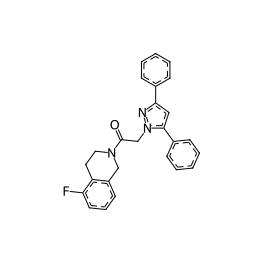 O=C(Cn1nc(-c2ccccc2)cc1-c1ccccc1)N1CCc2c(F)cccc2C1